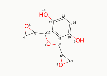 C(OCC1CO1)C1CO1.Oc1ccc(O)cc1